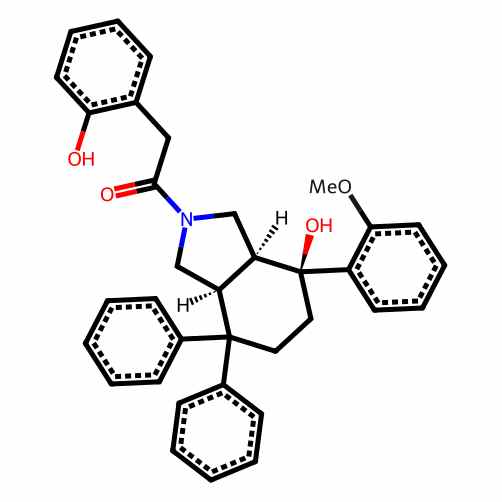 COc1ccccc1[C@]1(O)CCC(c2ccccc2)(c2ccccc2)[C@H]2CN(C(=O)Cc3ccccc3O)C[C@H]21